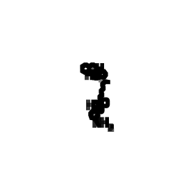 CC(CCCC=CC(=O)NOc1cccc(N)c1)[C@H]1CC[C@H]2[C@@H]3CCC4CCCC[C@]4(C)[C@H]3CC[C@]12C